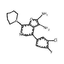 Nc1oc2c(N3CCCCC3)ncc(-c3ccc(F)c(Cl)c3)c2c1N